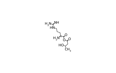 CC(O)CC(=O)OC(=O)[C@@H](N)CCCNC(=N)N